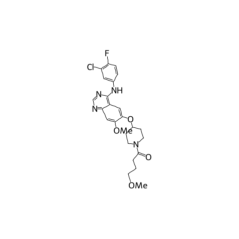 COCCCC(=O)N1CCC(Oc2cc3c(Nc4ccc(F)c(Cl)c4)ncnc3cc2OC)CC1